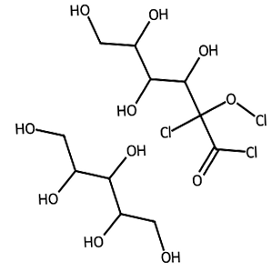 O=C(Cl)C(Cl)(OCl)C(O)C(O)C(O)CO.OCC(O)C(O)C(O)CO